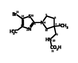 Cc1nc(N2CCC(C)(CNC(=O)O)C2)sc1Br